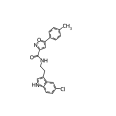 Cc1ccc(-c2cc(C(=O)NCCc3c[nH]c4ccc(Cl)cc34)no2)cc1